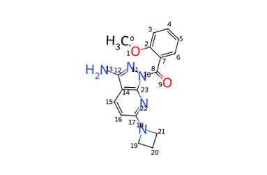 COc1ccccc1C(=O)n1nc(N)c2ccc(N3CCC3)nc21